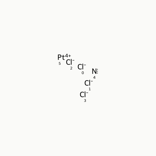 [Cl-].[Cl-].[Cl-].[Cl-].[N].[Pt+4]